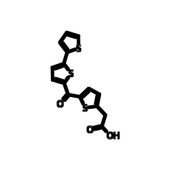 O=C(O)Cc1ccc(C(=O)c2ccc(-c3cccs3)s2)s1